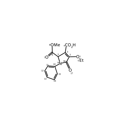 CCOC1=C(C(=O)O)C(C(=O)OC)N(c2ccccc2)C1=O